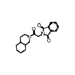 O=C(CN1C(=O)c2ccccc2C1=O)N1CCC2CCCCC2C1